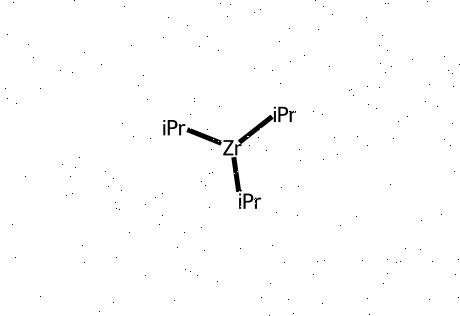 C[CH](C)[Zr]([CH](C)C)[CH](C)C